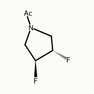 CC(=O)N1C[C@H](F)[C@@H](F)C1